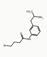 NC(Cc1cccc(NC(=O)CCCBr)c1)C(=O)O